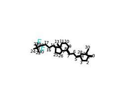 C=C1CC/C(=C/C/C=C2\CCCC3(C)C(CCCC(F)(F)C(C)(C)C)CCC23)CC1C